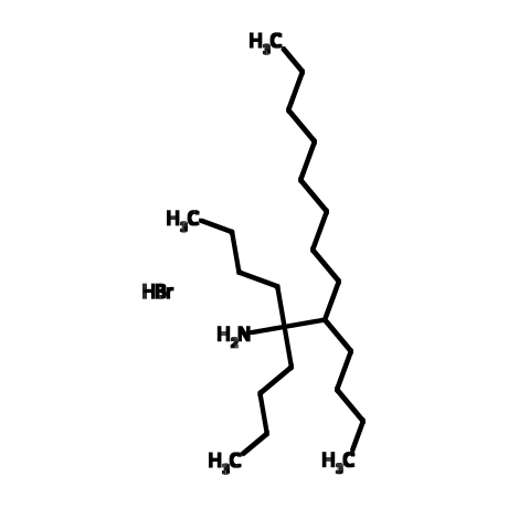 Br.CCCCCCCCC(CCCC)C(N)(CCCC)CCCC